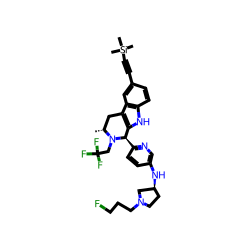 C[C@@H]1Cc2c([nH]c3ccc(C#C[Si](C)(C)C)cc23)[C@@H](c2ccc(N[C@H]3CCN(CCCF)C3)cn2)N1CC(F)(F)F